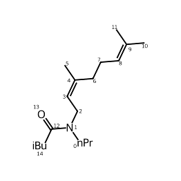 CCCN(C/C=C(/C)CCC=C(C)C)C(=O)C(C)CC